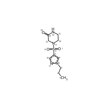 CCCn1cc(S(=O)(=O)N2CCNC(=O)C2)cn1